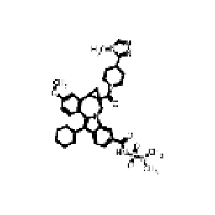 COc1ccc2c(c1)C1CC1(C(=O)N1CCC(c3nncn3C)CC1)Cn1c-2c(C2CCCCC2)c2ccc(C(=O)NS(=O)(=O)N(C)C)cc21